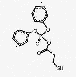 O=C(CCS)OP(=O)(Oc1ccccc1)Oc1ccccc1